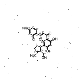 CN1CCC(c2c(O)cc(O)c3c(=O)cc(-c4ccc(C#N)cc4Cl)oc23)C1CO